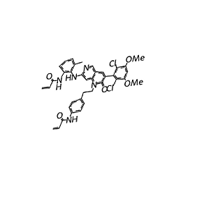 C=CC(=O)Nc1ccc(CCn2c(=O)c(-c3c(Cl)c(OC)cc(OC)c3Cl)cc3cnc(Nc4c(C)cccc4NC(=O)C=C)cc32)cc1